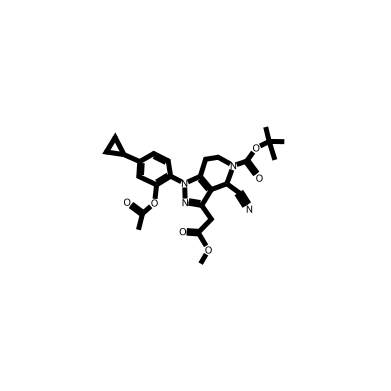 COC(=O)Cc1nn(-c2ccc(C3CC3)cc2OC(C)=O)c2c1C(C#N)N(C(=O)OC(C)(C)C)CC2